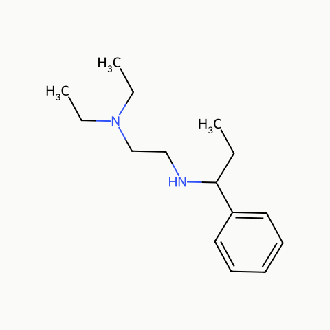 CCC(NCCN(CC)CC)c1ccccc1